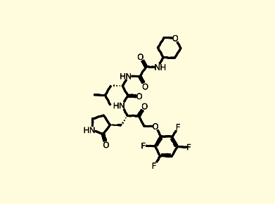 CC(C)C[C@H](NC(=O)C(=O)NC1CCOCC1)C(=O)N[C@@H](C[C@@H]1CCNC1=O)C(=O)COc1c(F)c(F)cc(F)c1F